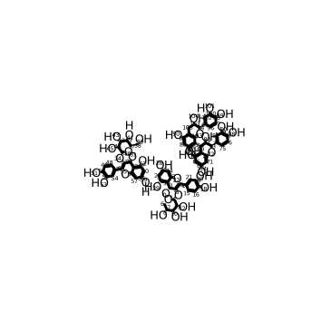 O=c1c(OC2OC[C@H](O)[C@H](O)[C@H]2O)c(-c2ccc(O)c(O)c2)oc2cc(O)cc(O)c12.O=c1c(OC2O[C@H](CO)[C@H](O)[C@H](O)[C@H]2O)c(-c2ccc(O)c(O)c2)oc2cc(O)cc(O)c12.Oc1cc(O)c2c(c1)O[C@H](c1ccc(O)c(O)c1)[C@H](O)[C@H]2c1c(O)cc(O)c2c1O[C@H](c1ccc(O)c(O)c1)[C@H](O)C2